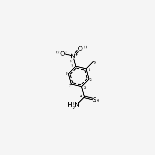 Cc1cc(C(N)=S)ccc1[N+](=O)[O-]